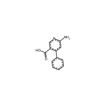 Nc1cc(-c2ccccc2)c(C(=O)O)cn1